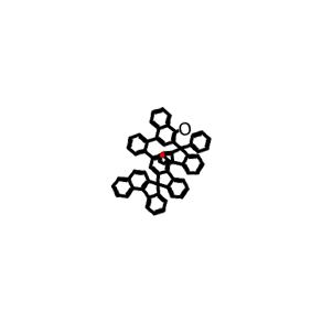 c1ccc2c(c1)Oc1c(cc(-c3ccccc3-c3ccc4c(c3)C3(c5ccccc5-4)c4ccccc4-c4c3ccc3ccccc43)c3ccccc13)C21c2ccccc2-c2ccccc21